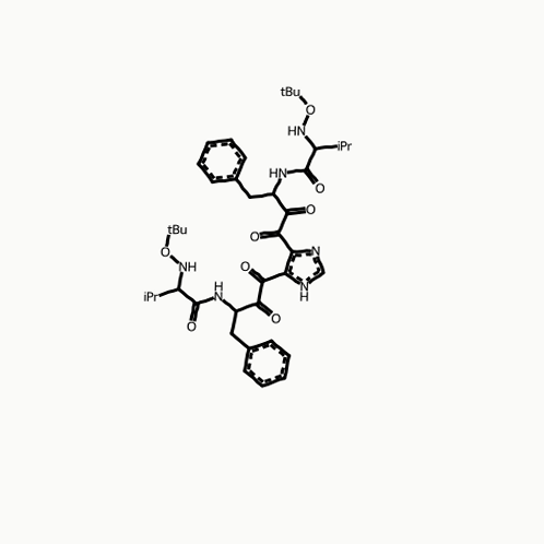 CC(C)C(NOC(C)(C)C)C(=O)NC(Cc1ccccc1)C(=O)C(=O)c1nc[nH]c1C(=O)C(=O)C(Cc1ccccc1)NC(=O)C(NOC(C)(C)C)C(C)C